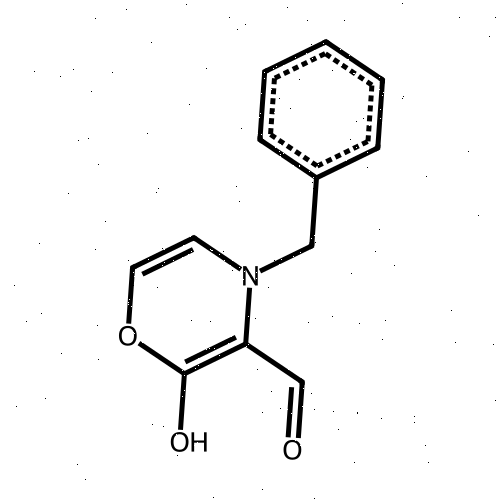 O=CC1=C(O)OC=CN1Cc1ccccc1